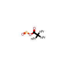 CCCC(CCC)(CCC)C(=O)OP=O